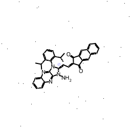 CC(C)c1cccc(C(C)C)c1N1/C(=C/C=C2C(=O)c3cc4ccccc4cc3C2=O)N(N)c2nc3ccccc3nc21